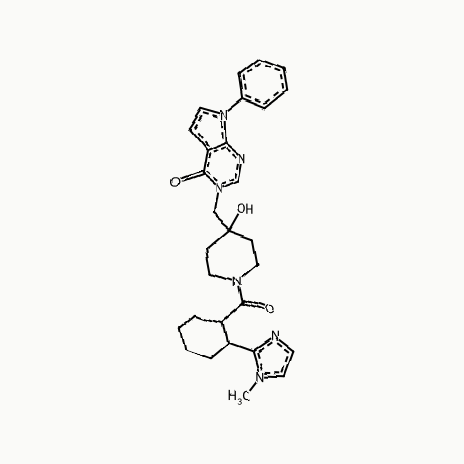 Cn1ccnc1C1CCCCC1C(=O)N1CCC(O)(Cn2cnc3c(ccn3-c3ccccc3)c2=O)CC1